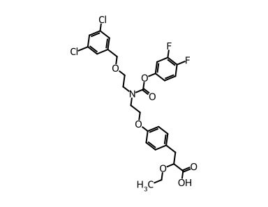 CCOC(Cc1ccc(OCCN(CCOCc2cc(Cl)cc(Cl)c2)C(=O)Oc2ccc(F)c(F)c2)cc1)C(=O)O